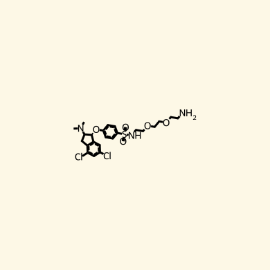 CN(C)C1Cc2c(Cl)cc(Cl)cc2[C@@H]1Oc1ccc(S(=O)(=O)NCCOCCOCCN)cc1